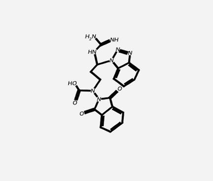 N=C(N)NC(CCN(C(=O)O)N1C(=O)c2ccccc2C1=O)n1nnc2ccccc21